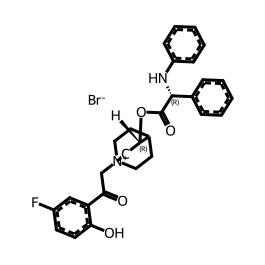 O=C(C[N+]12CCC(CC1)[C@@H](OC(=O)[C@H](Nc1ccccc1)c1ccccc1)C2)c1cc(F)ccc1O.[Br-]